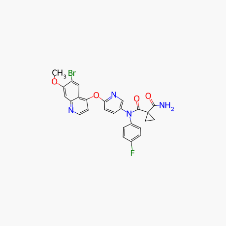 COc1cc2nccc(Oc3ccc(N(C(=O)C4(C(N)=O)CC4)c4ccc(F)cc4)cn3)c2cc1Br